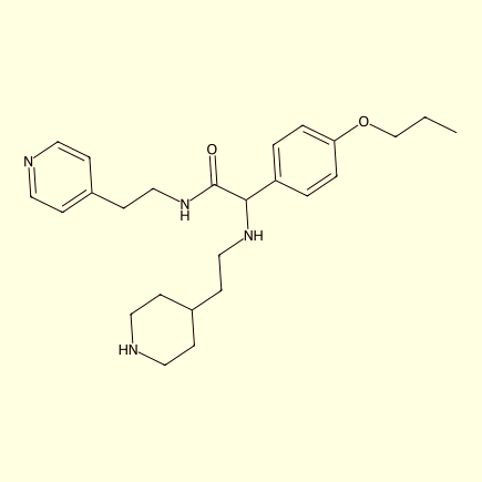 CCCOc1ccc(C(NCCC2CCNCC2)C(=O)NCCc2ccncc2)cc1